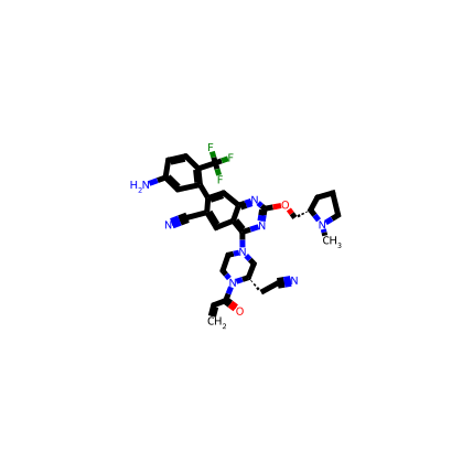 C=CC(=O)N1CCN(c2nc(OC[C@@H]3CCCN3C)nc3cc(-c4cc(N)ccc4C(F)(F)F)c(C#N)cc23)C[C@@H]1CC#N